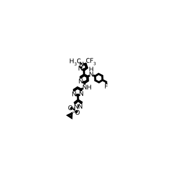 Cn1nc(-c2cnc(Nc3ccnc(-c4cnn(S(=O)(=O)C5CC5)c4)n3)cc2NC2CCC(CF)CC2)cc1C(F)(F)F